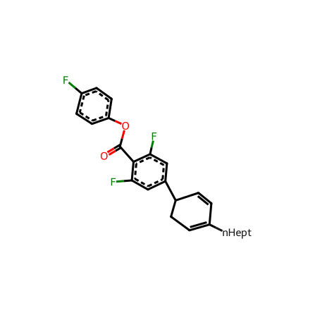 CCCCCCCC1=CCC(c2cc(F)c(C(=O)Oc3ccc(F)cc3)c(F)c2)C=C1